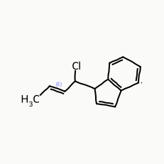 C/C=C/C(Cl)C1C=Cc2[c]cccc21